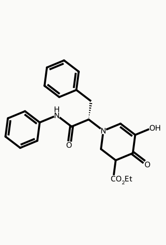 CCOC(=O)C1CN([C@@H](Cc2ccccc2)C(=O)Nc2ccccc2)C=C(O)C1=O